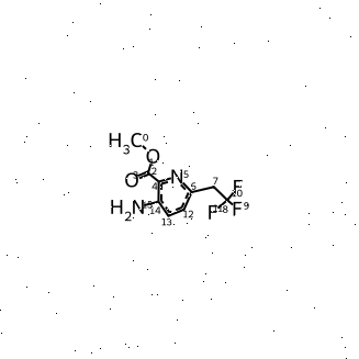 COC(=O)c1nc(CC(F)(F)F)ccc1N